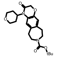 CC(C)(C)OC(=O)N1CCc2cc3c(cc2CC1)N(C1CCOCC1)C(=O)CO3